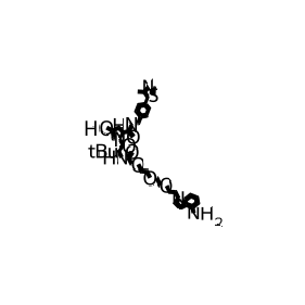 Cc1ncsc1-c1ccc(CNC(=O)C2CC(O)CN2C(=O)[C@@H](NC(=O)COCCOCCOCCn2ccc3c(N)cccc32)C(C)(C)C)cc1